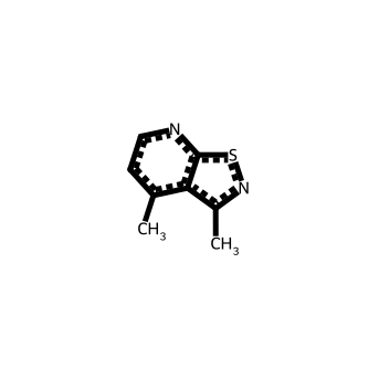 Cc1ccnc2snc(C)c12